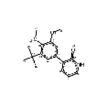 COc1cc(-c2ccc[nH]c2=O)cc(C(C)(C)C)c1OC